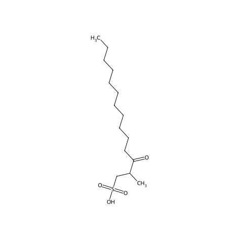 CCCCCCCCCCCC(=O)C(C)CS(=O)(=O)O